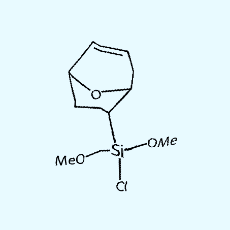 CO[Si](Cl)(OC)C1CC2C=CC1O2